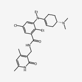 CCc1c(C(=O)NCc2c(C)cc(C)[nH]c2=O)cc(Cl)cc1N(CC)C1=CC[C@@H](N(C)C)CC1